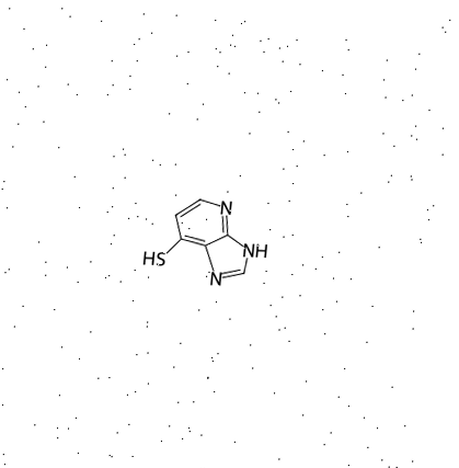 Sc1ccnc2[nH]cnc12